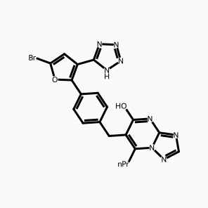 CCCc1c(Cc2ccc(-c3oc(Br)cc3-c3nnn[nH]3)cc2)c(O)nc2ncnn12